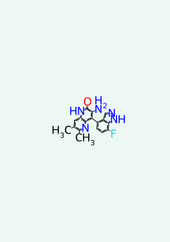 Cc1cc2[nH]c(=O)c(N)c(-c3ccc(F)c4[nH]ncc34)c2nc1C